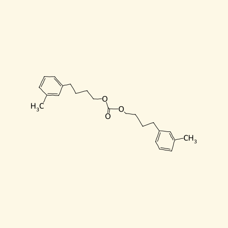 Cc1cccc(CCCCOC(=O)OCCCCc2cccc(C)c2)c1